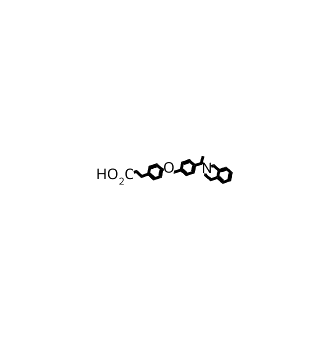 CC(c1ccc(COc2ccc(CCC(=O)O)cc2)cc1)N1CCc2ccccc2C1